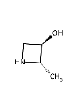 C[C@@H]1NC[C@H]1O